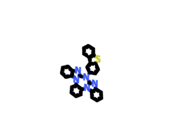 c1ccc2c(c1)nc1n(-c3ccc4sc5ccccc5c4c3)c3nc4ccccc4n3c3ccccc3n21